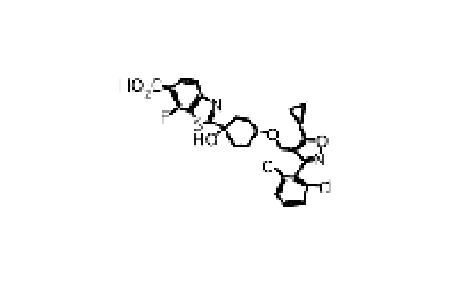 O=C(O)c1ccc2nc([C@]3(O)CC[C@@H](OCc4c(-c5c(Cl)cccc5Cl)noc4C4CC4)CC3)sc2c1F